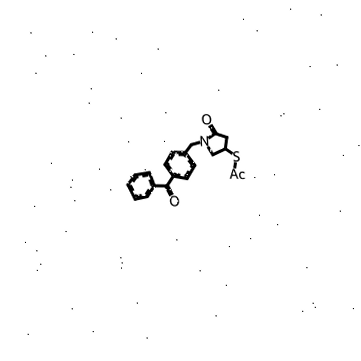 CC(=O)SC1CC(=O)N(Cc2ccc(C(=O)c3ccccc3)cc2)C1